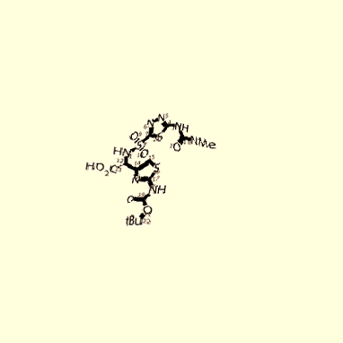 CNC(=O)Nc1nnc(S(=O)(=O)N[C@@H](C(=O)O)c2csc(NC(=O)OC(C)(C)C)n2)s1